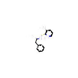 O=[C][C@H](Cc1ccccc1)NSc1ncccc1[N+](=O)[O-]